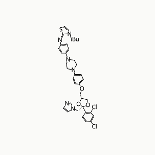 CCC(C)n1ccsc1=Nc1ccc(N2CCN(c3ccc(OC[C@@H]4CO[C@@](Cn5ccnc5)(c5ccc(Cl)cc5Cl)O4)cc3)CC2)cc1